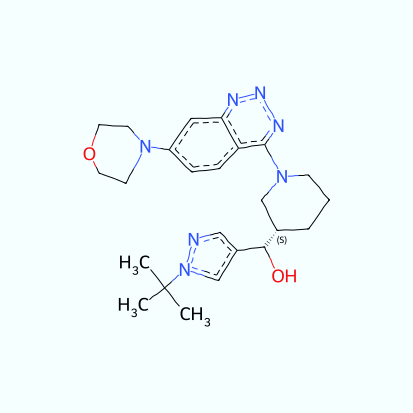 CC(C)(C)n1cc(C(O)[C@H]2CCCN(c3nnnc4cc(N5CCOCC5)ccc34)C2)cn1